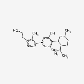 C=C(C)[C@@H]1CCC(C)=C[C@H]1c1c(O)cc(-c2cnn(CCO)c2C)cc1O